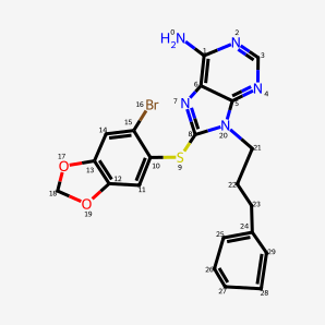 Nc1ncnc2c1nc(Sc1cc3c(cc1Br)OCO3)n2CCCc1ccccc1